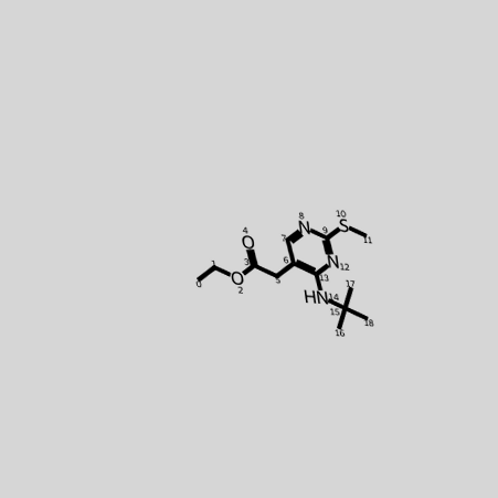 CCOC(=O)Cc1cnc(SC)nc1NC(C)(C)C